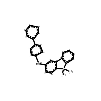 CS1(C)c2ccccc2-c2cc(Nc3ccc(-c4ccccc4)cc3)ccc21